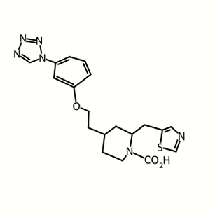 O=C(O)N1CCC(CCOc2cccc(-n3cnnn3)c2)CC1Cc1cncs1